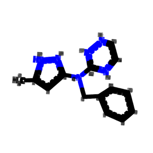 Cc1cc(N(Cc2ccccc2)c2nccnn2)n[nH]1